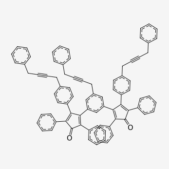 O=C1C(c2ccccc2)=C(c2ccc(CC#CCc3ccccc3)cc2)C(c2cc(CC#CCc3ccccc3)cc(C3=C(c4ccccc4)C(=O)C(c4ccccc4)=C3c3ccc(CC#CCc4ccccc4)cc3)c2)=C1c1ccccc1